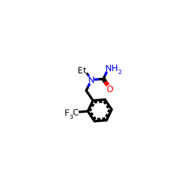 [CH2]CN(Cc1ccccc1C(F)(F)F)C(N)=O